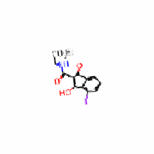 CCOC(=O)CNC(=O)C1=C(O)c2c(I)cccc2C1=O